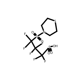 O=S(=O)(O)C(F)(F)C(F)(F)C(F)(F)S(=O)(=O)N1CCSCC1